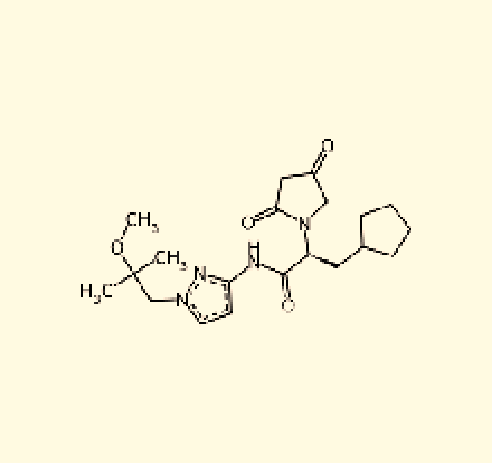 COC(C)(C)Cn1ccc(NC(=O)[C@H](CC2CCCC2)N2CC(=O)CC2=O)n1